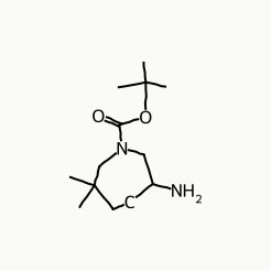 CC1(C)CCC(N)CN(C(=O)OC(C)(C)C)C1